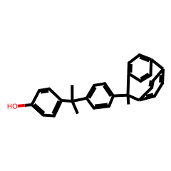 CC(C)(c1ccc(O)cc1)c1ccc(C2(C)c3ccc(cc3)-c3ccc2cc3)cc1